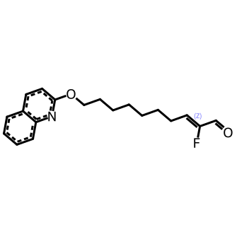 O=C/C(F)=C/CCCCCCCOc1ccc2ccccc2n1